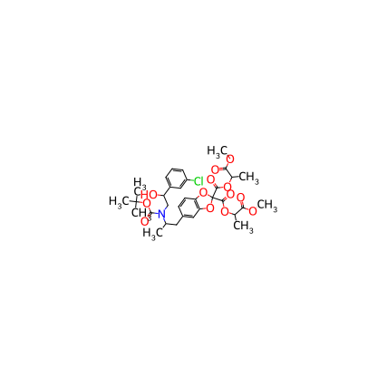 COC(=O)C(C)OC(=O)C1(C(=O)OC(C)C(=O)OC)Oc2ccc(CC(C)N(CC(O)c3cccc(Cl)c3)C(=O)OC(C)(C)C)cc2O1